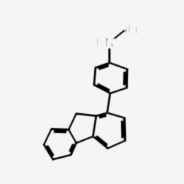 CC(C)Nc1ccc(-c2cccc3c2Cc2ccccc2-3)cc1